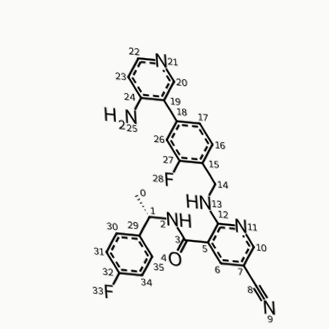 C[C@H](NC(=O)c1cc(C#N)cnc1NCc1ccc(-c2cnccc2N)cc1F)c1ccc(F)cc1